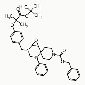 CC(C)(C)OC(=O)C(C)(C)Oc1ccc(CN2CN(c3ccccc3)C3(CCN(C(=O)OCc4ccccc4)CC3)C3OC32)cc1